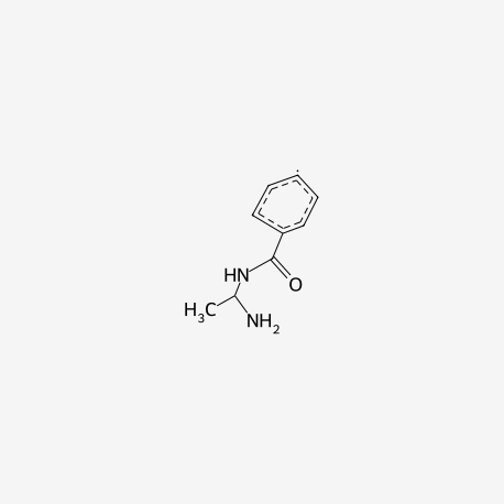 CC(N)NC(=O)c1cc[c]cc1